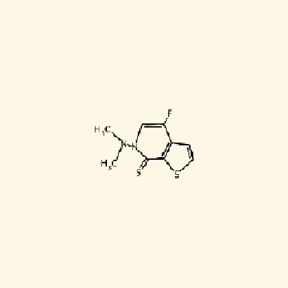 CN(C)n1cc(F)c2ccsc2c1=S